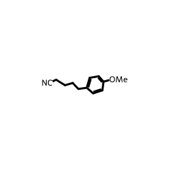 COc1ccc(CCCCC#N)cc1